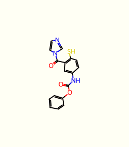 O=C(Nc1ccc(S)c(C(=O)n2ccnc2)c1)Oc1ccccc1